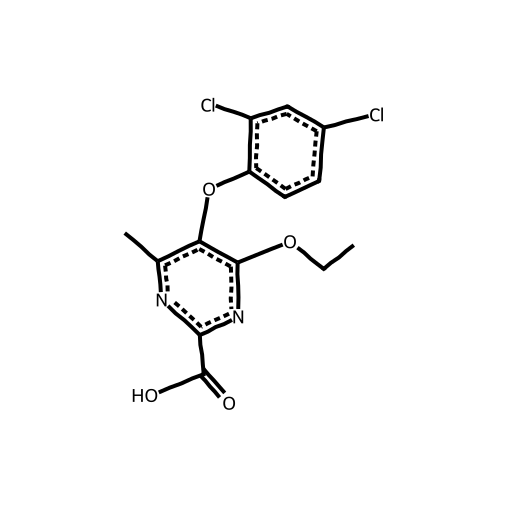 CCOc1nc(C(=O)O)nc(C)c1Oc1ccc(Cl)cc1Cl